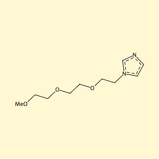 COCCOCCOCCn1ccnc1